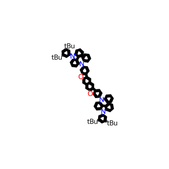 CC(C)(C)c1cc(-n2c3ccccc3c3c(N(c4ccccc4)c4ccc5c(c4)oc4cc6cc7oc8cc(N(c9ccccc9)c9cccc%10c9c9ccccc9n%10-c9cc(C(C)(C)C)cc(C(C)(C)C)c9)ccc8c7cc6cc45)cccc32)cc(C(C)(C)C)c1